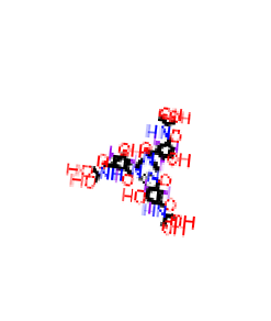 O=C(NC(CO)CO)c1c(I)c(O)c(I)c(C(=O)N2CCN(C(=O)c3c(I)c(O)c(I)c(C(=O)NC(CO)CO)c3I)CCN(C(=O)c3c(I)c(O)c(I)c(C(=O)NC(CO)CO)c3I)CC2)c1I